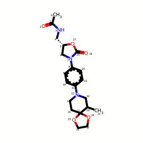 CC(=O)NC[C@H]1CN(c2ccc(N3CCC4(OCCO4)C(C)C3)cc2)C(=O)O1